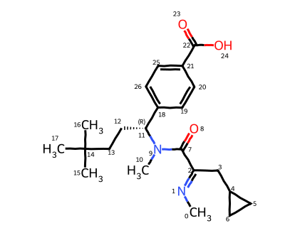 CN=C(CC1CC1)C(=O)N(C)[C@H](CCC(C)(C)C)c1ccc(C(=O)O)cc1